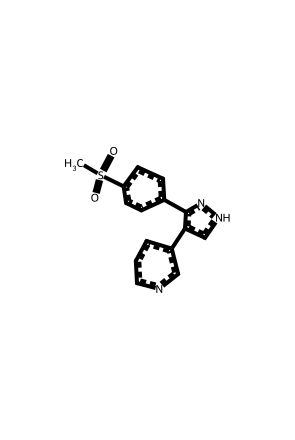 CS(=O)(=O)c1ccc(-c2n[nH]cc2-c2cccnc2)cc1